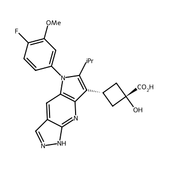 COc1cc(-n2c(C(C)C)c([C@H]3C[C@](O)(C(=O)O)C3)c3nc4[nH]ncc4cc32)ccc1F